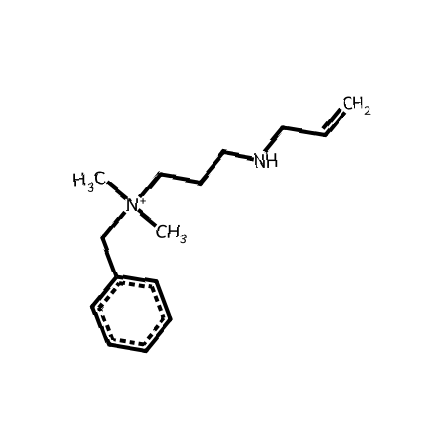 C=CCNCCC[N+](C)(C)Cc1ccccc1